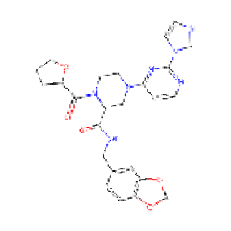 O=C(NCc1ccc2c(c1)OCO2)C1CN(c2ccnc(-n3ccnc3)n2)CCN1C(=O)C1CCCO1